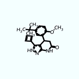 COc1ccc(C(C)(C)C)cc1C1CC(=O)Nc2n[nH]c(C3=CC=C3)c21